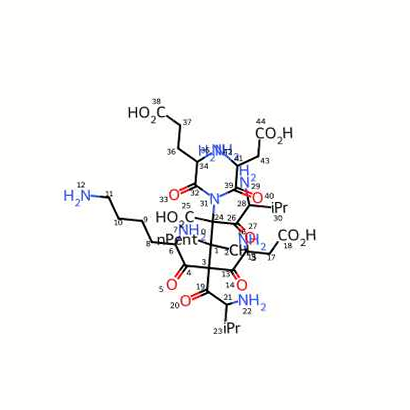 CCCCCC(C)(C(C(=O)C(N)CCCCN)(C(=O)C(N)CC(=O)O)C(=O)C(N)C(C)C)C(C(=O)O)(C(=O)C(N)C(C)C)N(C(=O)C(N)CCC(=O)O)C(=O)C(N)CC(=O)O